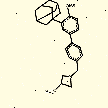 COc1ccc(-c2ccc(CN3CC(C(=O)O)C3)cc2)cc1C12CC3CC(CC(C3)C1)C2